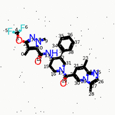 Cc1c(OC(F)F)nn(C)c1C(=O)N[C@@H]1CCN(C(=O)c2cc(C)c3ncc(C)n3c2)C[C@@H]1c1ccccc1